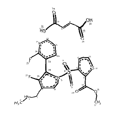 CNCc1cn(S(=O)(=O)c2ccsc2C(=O)OC)c(-c2cccnc2F)c1F.O=C(O)C=CC(=O)O